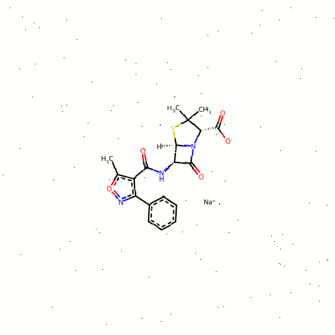 Cc1onc(-c2ccccc2)c1C(=O)N[C@@H]1C(=O)N2[C@@H]1SC(C)(C)[C@@H]2C(=O)[O-].[Na+]